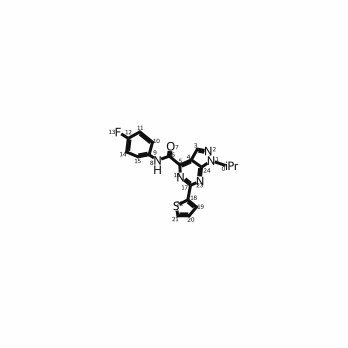 CC(C)n1ncc2c(C(=O)Nc3ccc(F)cc3)nc(-c3cccs3)nc21